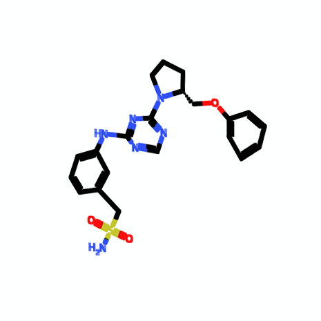 NS(=O)(=O)Cc1cccc(Nc2ncnc(N3CCC[C@@H]3COc3ccccc3)n2)c1